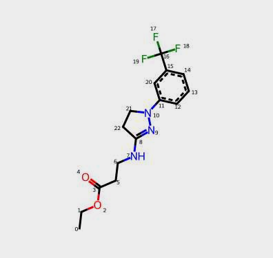 CCOC(=O)CCNC1=NN(c2cccc(C(F)(F)F)c2)CC1